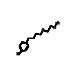 CCCOCCOCCCCc1ccc(CC)cc1